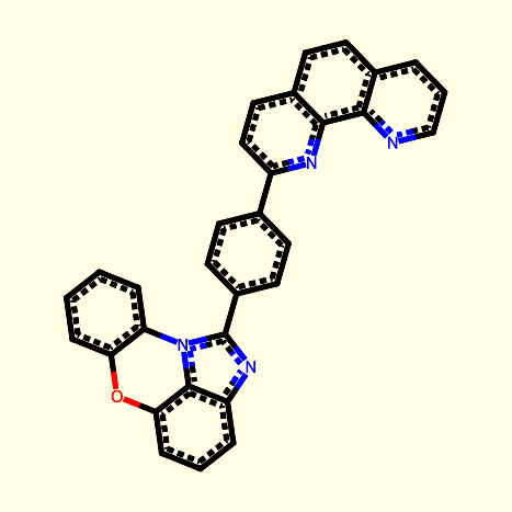 c1ccc2c(c1)Oc1cccc3nc(-c4ccc(-c5ccc6ccc7cccnc7c6n5)cc4)n-2c13